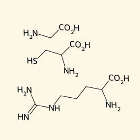 N=C(N)NCCCC(N)C(=O)O.NC(CS)C(=O)O.NCC(=O)O